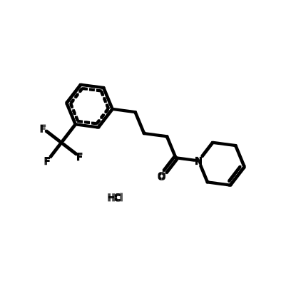 Cl.O=C(CCCc1cccc(C(F)(F)F)c1)N1CC=CCC1